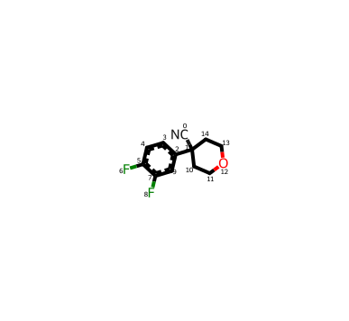 N#CC1(c2ccc(F)c(F)c2)CCOCC1